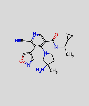 C[C@H](NC(=O)c1cnc(C#N)c(-c2cnoc2)c1N1CC[C@](C)(N)C1)C1CC1